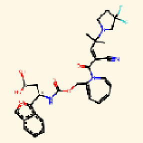 CC(C)(C=C(C#N)C(=O)N1C=CC=CC=C1COC(=O)N[C@H](CB(O)O)c1occ2ccccc12)N1CCC(F)(F)C1